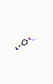 NNC(=O)[C@H]1CC[C@H](c2nccs2)CC1